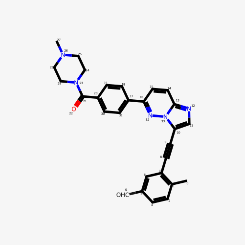 Cc1ccc(C=O)cc1C#Cc1cnc2ccc(-c3ccc(C(=O)N4CCN(C)CC4)cc3)nn12